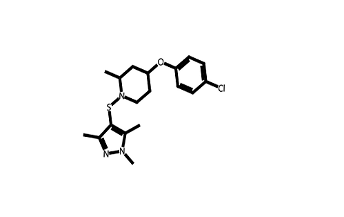 Cc1nn(C)c(C)c1SN1CCC(Oc2ccc(Cl)cc2)CC1C